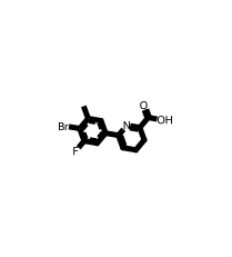 Cc1cc(C2=CCCC(C(=O)O)=N2)cc(F)c1Br